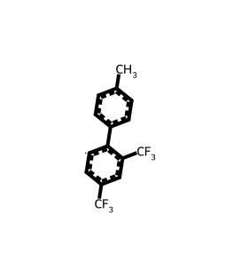 Cc1ccc(-c2[c]cc(C(F)(F)F)cc2C(F)(F)F)cc1